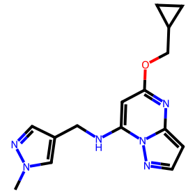 Cn1cc(CNc2cc(OCC3CC3)nc3ccnn23)cn1